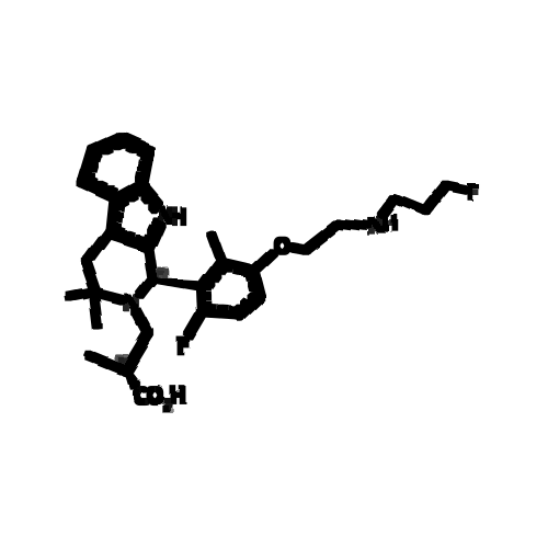 Cc1c(OCCNCCCF)ccc(F)c1[C@@H]1c2[nH]c3ccccc3c2CC(C)(C)N1C[C@H](C)C(=O)O